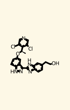 C[C@@H](Oc1ccc2[nH]nc(-c3nc4ccc(CCO)cc4[nH]3)c2c1)c1c(Cl)cncc1Cl